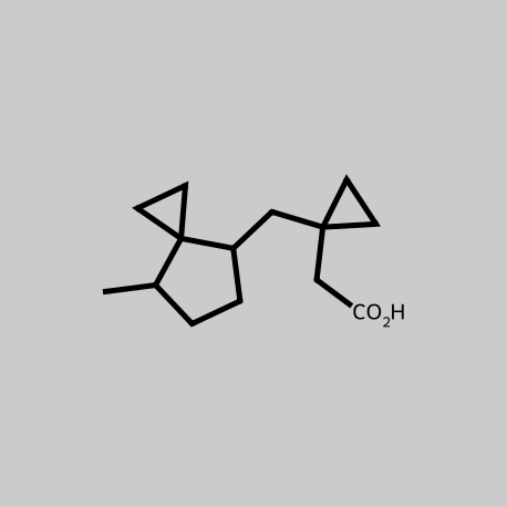 CC1CCC(CC2(CC(=O)O)CC2)C12CC2